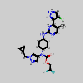 O=C(OCC(F)F)N(c1cnn(CC2CC2)c1)[C@H]1CC[C@H](Nc2ncc(C(F)(F)F)c(-c3n[nH]cc3Cl)n2)CC1